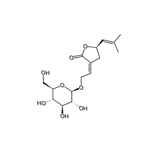 CC(C)=C[C@H]1C/C(=C/CO[C@@H]2O[C@H](CO)[C@@H](O)[C@H](O)[C@H]2O)C(=O)O1